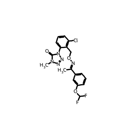 CC(=NOCc1c(Cl)cccc1-n1nnn(C)c1=O)c1cccc(OC(F)F)c1